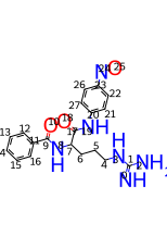 N=C(N)NCCCC(NC(=O)c1ccccc1)C(=O)Nc1ccc(N=O)cc1